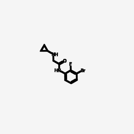 O=C(CNC1CC1)Nc1cccc(Br)c1F